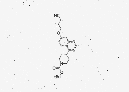 CC(C)(C)OC(=O)N1CCC(c2ncnc3cc(OCCCC#N)ccc23)CC1